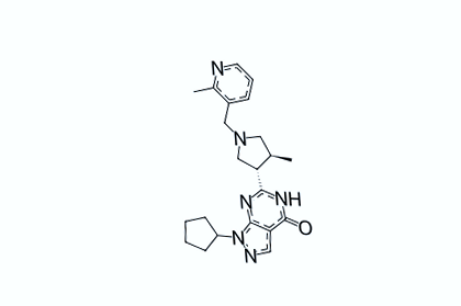 Cc1ncccc1CN1C[C@@H](C)[C@H](c2nc3c(cnn3C3CCCC3)c(=O)[nH]2)C1